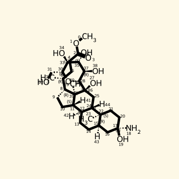 COC(=O)CC[C@@H](C)[C@H]1CC[C@H]2[C@@H]3CC[C@@H]4C[C@](N)(O)CC[C@]4(C)[C@H]3C[C@@](O)([C@@H]3O[C@H](CO)[C@@H](O)[C@H](O)[C@H]3O)[C@]12C